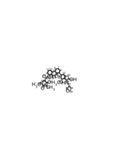 COc1nc(-c2cccc(-c3cccc(NC(=O)c4cn(C)c(=O)n(C)c4=O)c3Cl)c2Cl)cc2c1C(NCC1CCOC1)C(O)C2